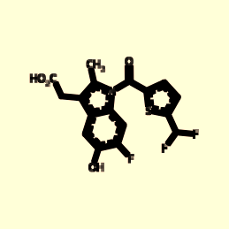 Cc1c(CC(=O)O)c2cc(O)c(F)cc2n1C(=O)c1ccc(C(F)F)s1